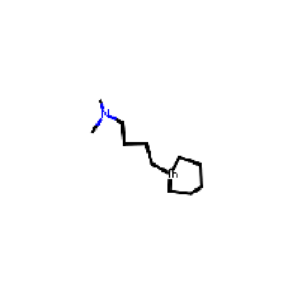 CN(C)CCC[CH2][In]1[CH2]CCC[CH2]1